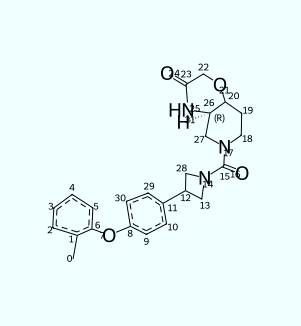 Cc1ccccc1Oc1ccc(C2CN(C(=O)N3CCC4OCC(=O)N[C@@H]4C3)C2)cc1